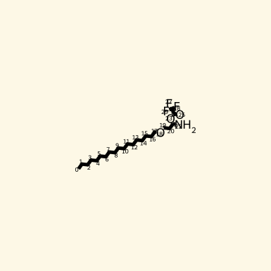 CCCCCCCCCCCCCCCCCCOCCC(N)OC(=O)C(F)(F)F